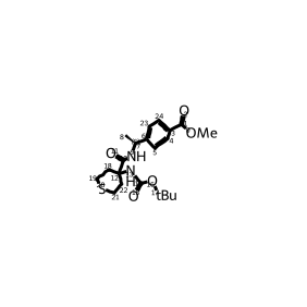 COC(=O)c1ccc([C@H](C)NC(=O)C2(NC(=O)OC(C)(C)C)CCSCC2)cc1